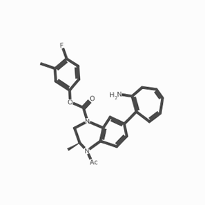 CC(=O)N1c2ccc(C3=C(N)CC=CC=C3)cc2N(C(=O)Oc2ccc(F)c(C)c2)C[C@@H]1C